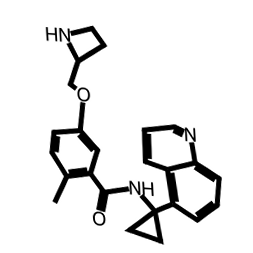 Cc1ccc(OCC2CCN2)cc1C(=O)NC1(c2cccc3ncccc23)CC1